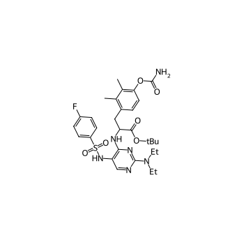 CCN(CC)c1ncc(NS(=O)(=O)c2ccc(F)cc2)c(NC(Cc2ccc(OC(N)=O)c(C)c2C)C(=O)OC(C)(C)C)n1